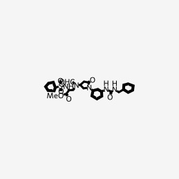 COC(=O)C(CN(C=O)C1CC(=O)N(c2cccc(NC(=O)NCc3ccccc3)c2)C1)NS(=O)(=O)c1ccccc1